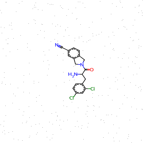 N#Cc1ccc2c(c1)CN(C(=O)C(N)Cc1ccc(Cl)cc1Cl)C2